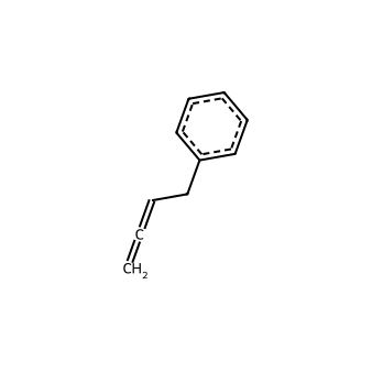 C=C=CCc1ccccc1